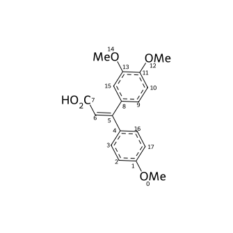 COc1ccc(/C(=C/C(=O)O)c2ccc(OC)c(OC)c2)cc1